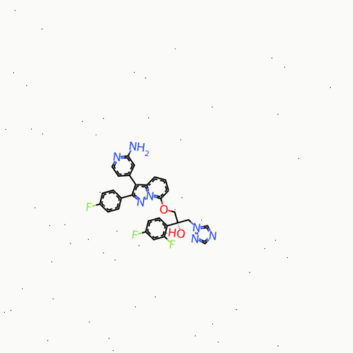 Nc1cc(-c2c(-c3ccc(F)cc3)nn3c(OC[C@@](O)(Cn4cncn4)c4ccc(F)cc4F)cccc23)ccn1